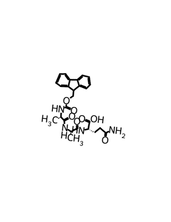 C[C@H](NC(=O)OCC1c2ccccc2-c2ccccc21)C(=O)N[C@@H](C)C(=O)N[C@@H](CCC(N)=O)C(=O)O